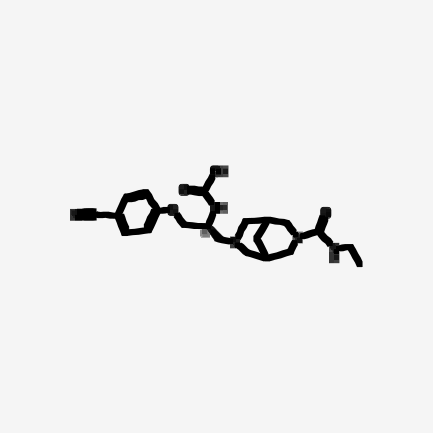 CCNC(=O)N1CC2CC(CN(C[C@@H](COc3ccc(C#N)cc3)NC(=O)O)C2)C1